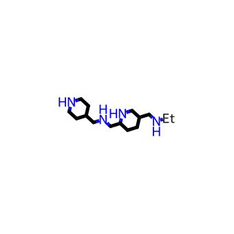 CCNCC1CCC(CNCC2CCNCC2)NC1